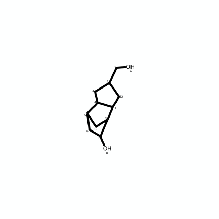 OCC1CC2C3CC(O)C(C3)C2C1